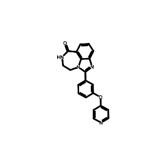 O=C1NCCn2c(-c3cccc(Oc4ccncc4)c3)nc3cccc1c32